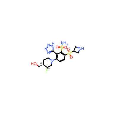 NS(=O)(=O)c1c(S(=O)(=O)C2CNC2)ccc(N2CC[C@H](CO)[C@H](F)C2)c1-c1nnn[nH]1